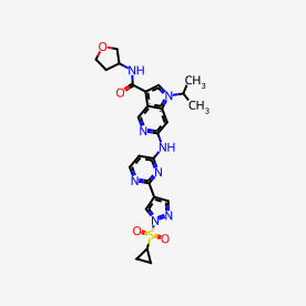 CC(C)n1cc(C(=O)NC2CCOC2)c2cnc(Nc3ccnc(-c4cnn(S(=O)(=O)C5CC5)c4)n3)cc21